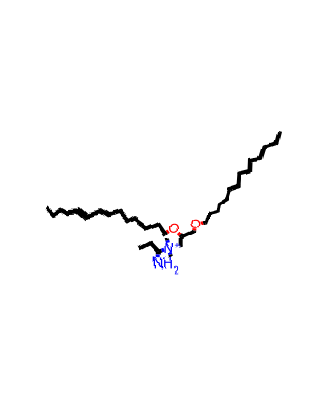 CCCCC=CCCCCCCCCOCC(C[N+](C)(C)C(N)CC)OCCCCCCCCC=CCCCC